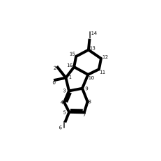 CC1(C)C2=CC(I)=CCC2C2CCC(I)CC21